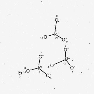 [Er+3].[O-][I+2]([O-])[O-].[O-][I+2]([O-])[O-].[O-][I+2]([O-])[O-]